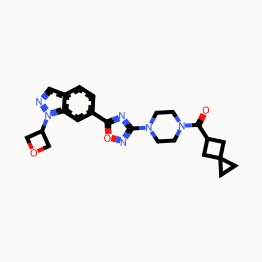 O=C(C1CC2(CC2)C1)N1CCN(c2noc(-c3ccc4cnn(C5COC5)c4c3)n2)CC1